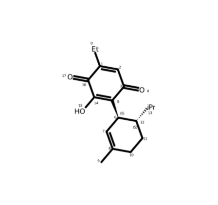 CCC1=CC(=O)C([C@@H]2C=C(C)CC[C@H]2C(C)C)=C(O)C1=O